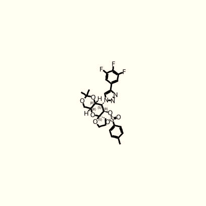 Cc1ccc(S(=O)(=O)O[C@@H]2[C@@H](n3cc(-c4cc(F)c(F)c(F)c4)nn3)[C@H]3OC(C)(C)OC[C@H]3O[C@@]23CCCO3)cc1